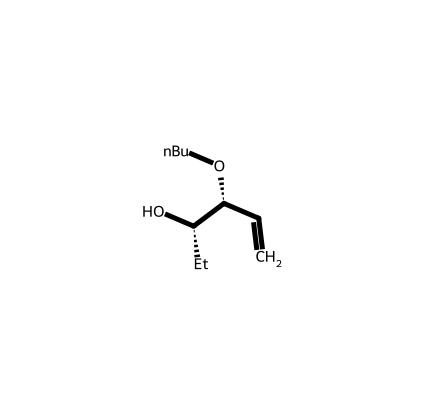 C=C[C@@H](OCCCC)[C@@H](O)CC